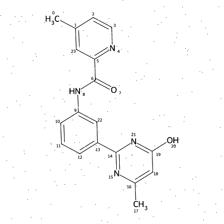 Cc1ccnc(C(=O)Nc2cccc(-c3nc(C)cc(O)n3)c2)c1